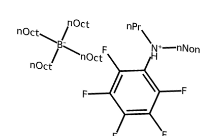 CCCCCCCCC[NH+](CCC)c1c(F)c(F)c(F)c(F)c1F.CCCCCCCC[B-](CCCCCCCC)(CCCCCCCC)CCCCCCCC